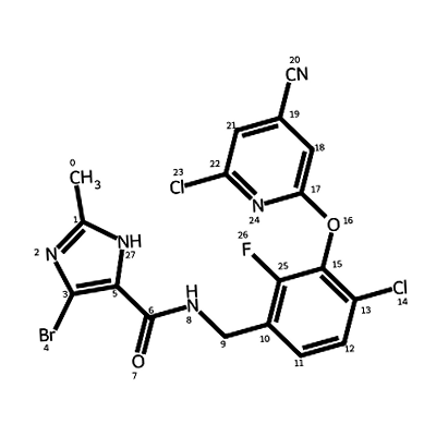 Cc1nc(Br)c(C(=O)NCc2ccc(Cl)c(Oc3cc(C#N)cc(Cl)n3)c2F)[nH]1